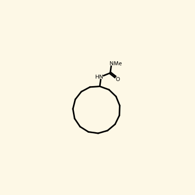 CNC(=O)NC1CCCCCCCCCCCCCC1